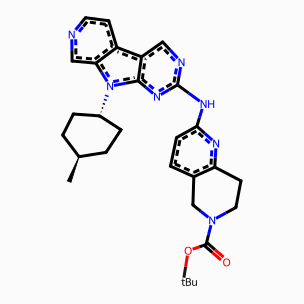 CC(C)(C)OC(=O)N1CCc2nc(Nc3ncc4c5ccncc5n([C@H]5CC[C@H](C)CC5)c4n3)ccc2C1